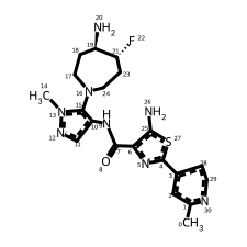 Cc1cc(-c2nc(C(=O)Nc3cnn(C)c3N3CC[C@@H](N)[C@H](F)CC3)c(N)s2)ccn1